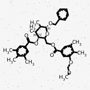 COCOc1cc(C(=O)OCC2O[C@@H](OCc3ccccc3)C(C)[C@@H](C)[C@@H]2OC(=O)c2cc(C)c(C)c(C)c2)cc(C)c1C